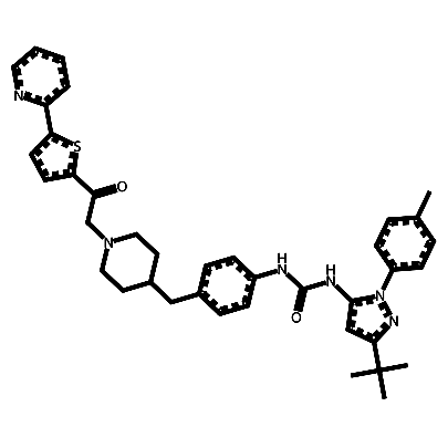 Cc1ccc(-n2nc(C(C)(C)C)cc2NC(=O)Nc2ccc(CC3CCN(CC(=O)c4ccc(-c5ccccn5)s4)CC3)cc2)cc1